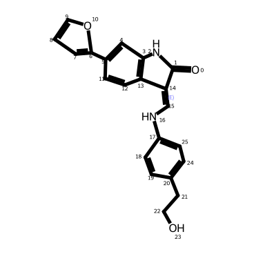 O=C1Nc2cc(-c3ccco3)ccc2/C1=C\Nc1ccc(CCO)cc1